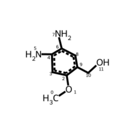 COc1cc(N)c(N)cc1CO